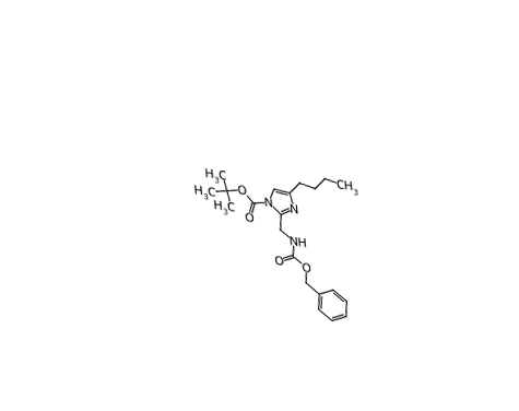 CCCCc1cn(C(=O)OC(C)(C)C)c(CNC(=O)OCc2ccccc2)n1